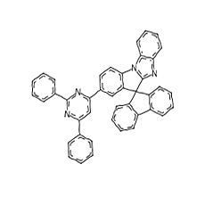 c1ccc(-c2cc(-c3ccc4c(c3)C3(c5ccccc5-c5ccccc53)c3nc5ccccc5n3-4)nc(-c3ccccc3)n2)cc1